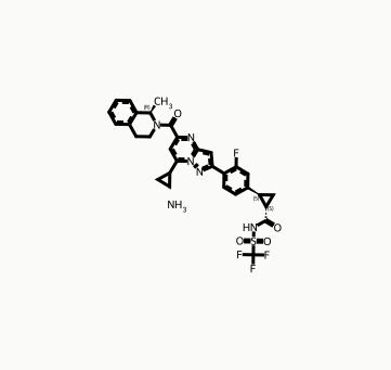 C[C@@H]1c2ccccc2CCN1C(=O)c1cc(C2CC2)n2nc(-c3ccc([C@H]4C[C@@H]4C(=O)NS(=O)(=O)C(F)(F)F)cc3F)cc2n1.N